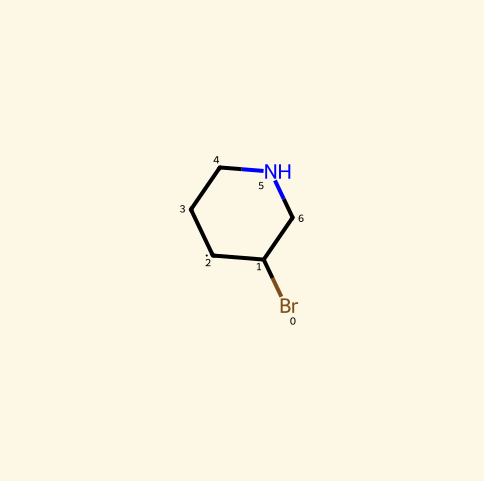 BrC1[CH]CCNC1